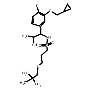 CC(C)C(NS(=O)(=O)CCCOCC(C)(C)C)c1ccc(F)c(OCC2CC2)c1